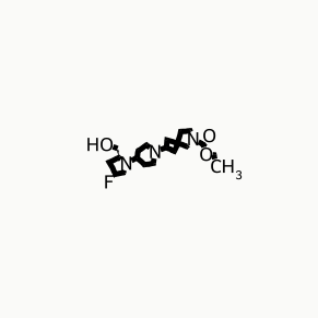 CCOC(=O)N1CCC2(CC(N3CCC(N4C[C@@H](F)C[C@@H]4CO)CC3)C2)C1